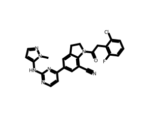 Cn1nccc1Nc1nccc(-c2cc(C#N)c3c(c2)CCN3C(=O)Cc2c(F)cccc2Cl)n1